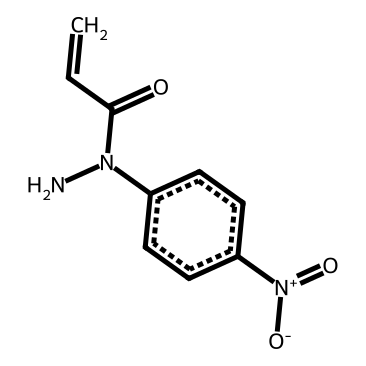 C=CC(=O)N(N)c1ccc([N+](=O)[O-])cc1